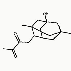 C=C(C)C(=O)CC1C2CC3(C)CC(O)(C2)CC1(C)C3